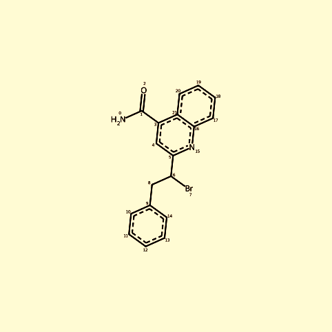 NC(=O)c1cc(C(Br)Cc2ccccc2)nc2ccccc12